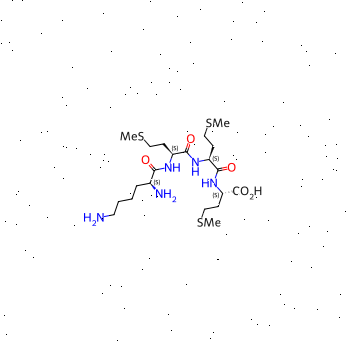 CSCC[C@H](NC(=O)[C@H](CCSC)NC(=O)[C@H](CCSC)NC(=O)[C@@H](N)CCCCN)C(=O)O